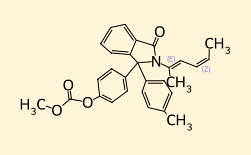 C/C=C\C=C(/C)N1C(=O)c2ccccc2C1(c1ccc(C)cc1)c1ccc(OC(=O)OC)cc1